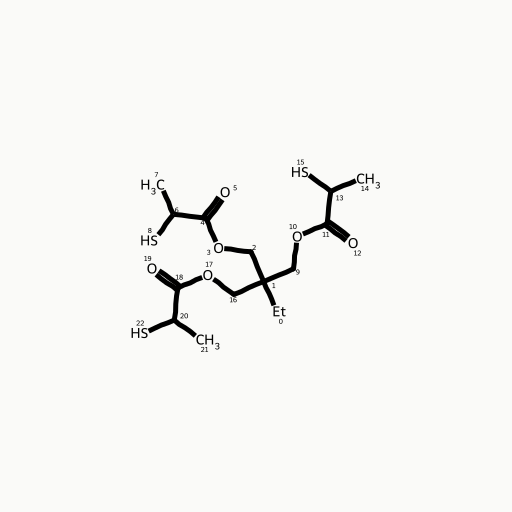 CCC(COC(=O)C(C)S)(COC(=O)C(C)S)COC(=O)C(C)S